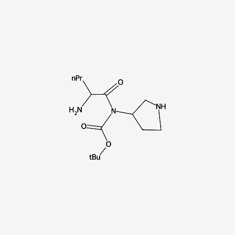 CCCC(N)C(=O)N(C(=O)OC(C)(C)C)C1CCNC1